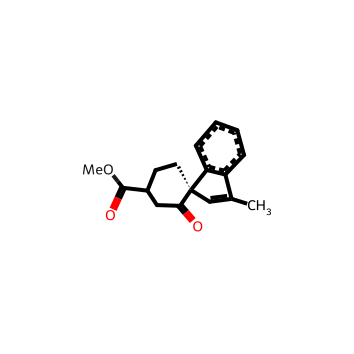 COC(=O)C1CC[C@]2(C=C(C)c3ccccc32)C(=O)C1